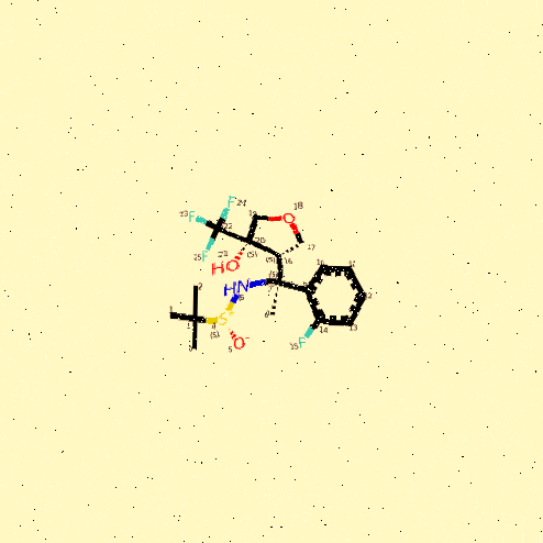 CC(C)(C)[S@@+]([O-])N[C@](C)(c1ccccc1F)[C@H]1COC[C@]1(O)C(F)(F)F